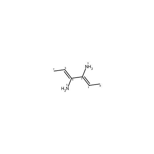 CC=C(N)C(N)=CC